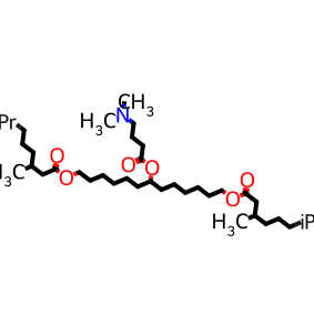 CC(C)CCCC(C)CC(=O)OCCCCCCC(CCCCCCOC(=O)CC(C)CCCC(C)C)OC(=O)CCCN(C)C